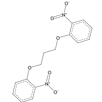 O=[N+]([O-])c1ccccc1OCCCOc1ccccc1[N+](=O)[O-]